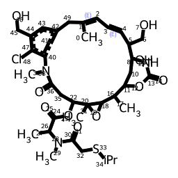 C/C1=C\C=C\C(CO)C2(O)CC(OC(=O)N2)C(C)C2OC2(C)C(OC(=O)C(C)N(C)C(=O)CSC(C)C)CC(=O)N(C)c2cc(cc(CO)c2Cl)C1